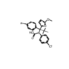 COc1ccc(C(c2ccc(Br)cc2)(N(C(=O)O)c2ccc(Cl)cc2)C(C)(C)C)o1